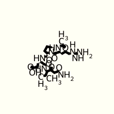 CC(=O)N[C@@H](CCCNC(=N)N)C(=O)N1CCC[C@H]1C(=O)N[C@@H](CCC(=O)O)C(=O)N[C@H](C(=O)CC(N)=O)C(C)C